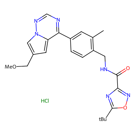 COCc1cc2c(-c3ccc(CNC(=O)c4noc(C(C)(C)C)n4)c(C)c3)ncnn2c1.Cl